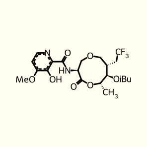 COc1ccnc(C(=O)N[C@H]2COC[C@H](CC(F)(F)F)[C@@H](OCC(C)C)[C@H](C)OC2=O)c1O